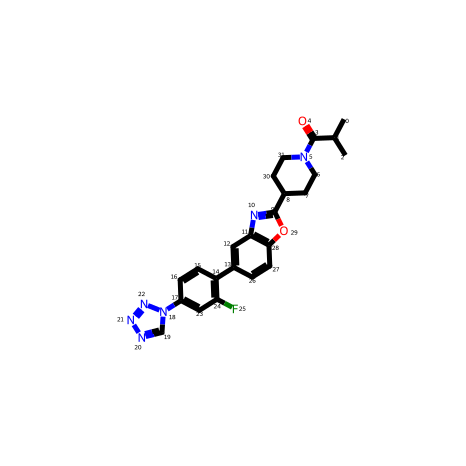 CC(C)C(=O)N1CCC(c2nc3cc(-c4ccc(-n5cnnn5)cc4F)ccc3o2)CC1